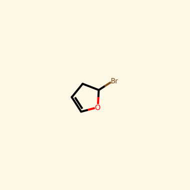 BrC1CC=CO1